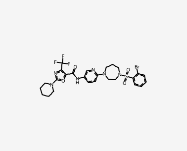 O=C(Nc1ccc(N2CCCN(S(=O)(=O)c3ccccc3Br)CC2)nc1)c1oc(N2CCCCC2)nc1C(F)(F)F